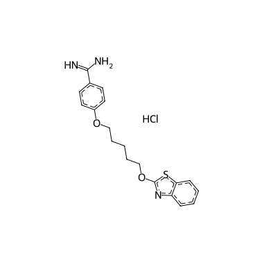 Cl.N=C(N)c1ccc(OCCCCCOc2nc3ccccc3s2)cc1